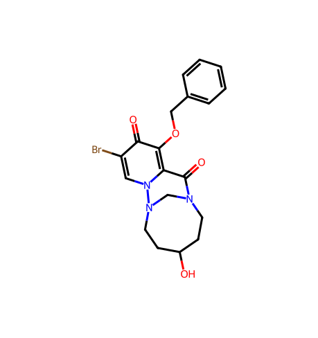 O=C1c2c(OCc3ccccc3)c(=O)c(Br)cn2N2CCC(O)CCN1C2